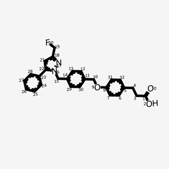 O=C(O)CCc1ccc(OCc2ccc(Cn3nc(CF)cc3-c3ccccc3)cc2)cc1